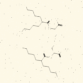 CCCCCCCCCCCCCCC(CCCCCCCCCCCCCC)C(=O)N[C@@H](CSSC[C@H](NC(=O)C(CCCCCCCCCCCCCC)CCCCCCCCCCCCCC)C(=O)OC)C(=O)OC